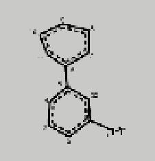 CC(C)c1cccc(-c2cc[c]cc2)c1